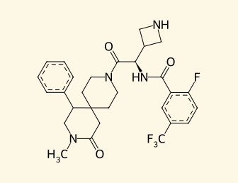 CN1CC(c2ccccc2)C2(CCN(C(=O)[C@H](NC(=O)c3cc(C(F)(F)F)ccc3F)C3CNC3)CC2)CC1=O